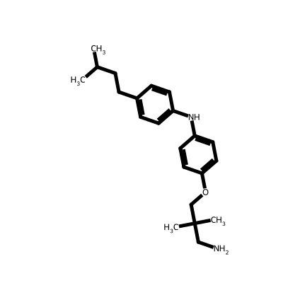 CC(C)CCc1ccc(Nc2ccc(OCC(C)(C)CN)cc2)cc1